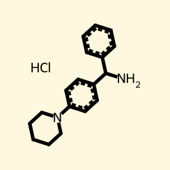 Cl.NC(c1ccccc1)c1ccc(N2CCCCC2)cc1